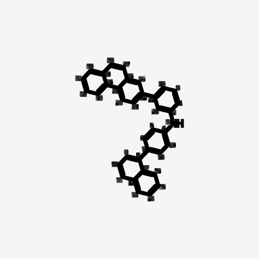 c1cc(Nc2ccc(-c3cccc4ccccc34)cc2)cc(-c2ccc3c(ccc4ccccc43)c2)c1